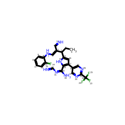 CCC(/C(C=N)=C/Nc1ccccc1F)c1cc(-c2cnc(C(F)(F)F)nc2)c(/C(N)=N\C=N)[nH]1